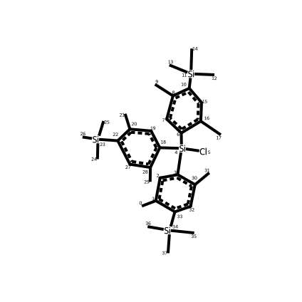 Cc1cc([Si](Cl)(c2cc(C)c([Si](C)(C)C)cc2C)c2cc(C)c([Si](C)(C)C)cc2C)c(C)cc1[Si](C)(C)C